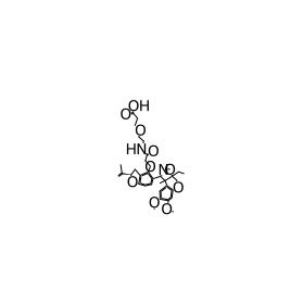 C=C(C)[C@H]1Cc2c(ccc(C3=NOC4(CC)COc5cc(OC)c(OC)cc5C34C)c2OCC(=O)NCCOCCC(=O)O)O1